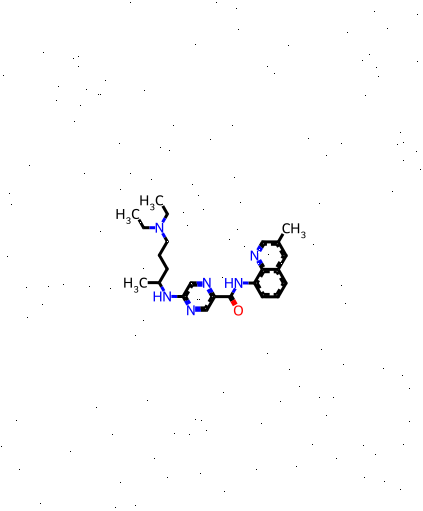 CCN(CC)CCCC(C)Nc1cnc(C(=O)Nc2cccc3cc(C)cnc23)cn1